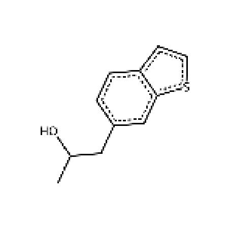 CC(O)Cc1ccc2ccsc2c1